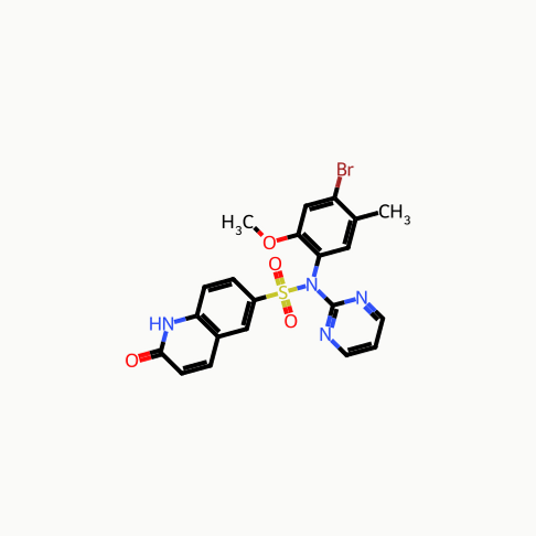 COc1cc(Br)c(C)cc1N(c1ncccn1)S(=O)(=O)c1ccc2[nH]c(=O)ccc2c1